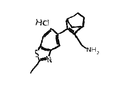 Cc1nc2cc(C3=C(CN)C4CCC3C4)ccc2s1.Cl